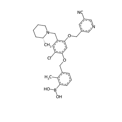 Cc1c(COc2cc(OCc3cncc(C#N)c3)c(CN3CCCC[C@H]3C)cc2Cl)cccc1B(O)O